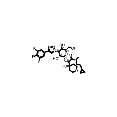 CN(CCC1CC1)C(=O)[C@@H](S[C@@H]1O[C@H](CO)[C@H](O)[C@H](n2cc(-c3cc(F)c(F)c(F)c3)nn2)[C@H]1O)C1(O)CCOCC1